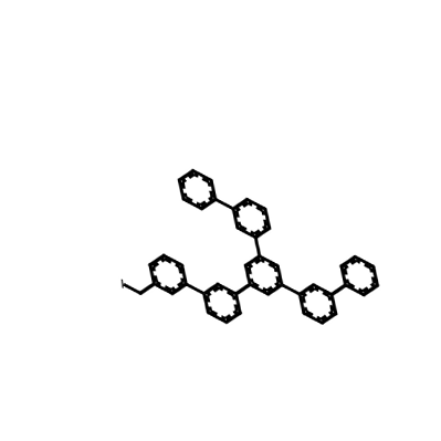 ICc1cccc(-c2cccc(-c3cc(-c4cccc(-c5ccccc5)c4)cc(-c4cccc(-c5ccccc5)c4)c3)c2)c1